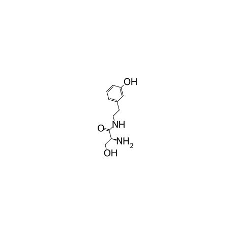 N[C@@H](CO)C(=O)NCCc1cccc(O)c1